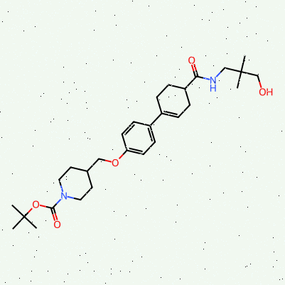 CC(C)(CO)CNC(=O)C1CC=C(c2ccc(OCC3CCN(C(=O)OC(C)(C)C)CC3)cc2)CC1